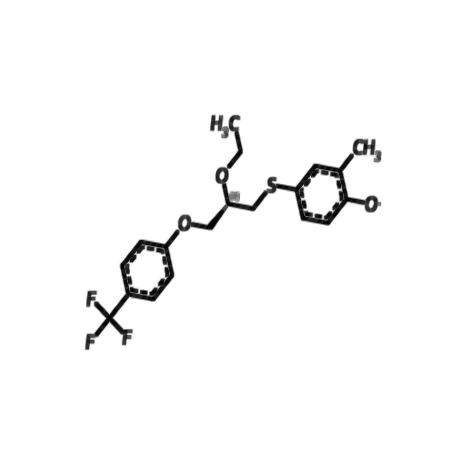 CCO[C@H](COc1ccc(C(F)(F)F)cc1)CSc1ccc([O])c(C)c1